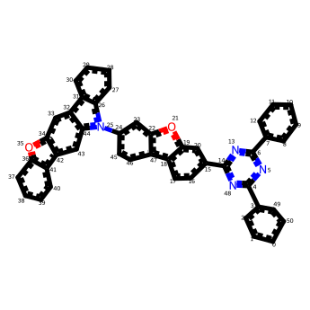 c1ccc(-c2nc(-c3ccccc3)nc(-c3ccc4c(c3)oc3cc(-n5c6ccccc6c6cc7oc8ccccc8c7cc65)ccc34)n2)cc1